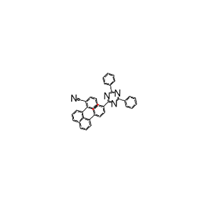 N#Cc1ccccc1-c1cccc2cccc(-c3ccc(-c4nc(-c5ccccc5)nc(-c5ccccc5)n4)cc3)c12